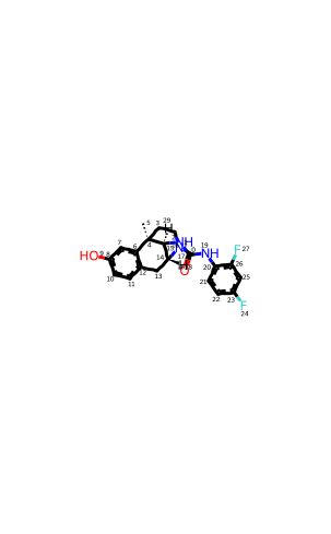 CN1CC[C@]2(C)c3cc(O)ccc3C[C@@H]1[C@@H]2NC(=O)Nc1ccc(F)cc1F